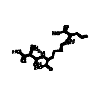 CCCC(NCCCCC(NC(O)C(N)C(=O)O)C(=O)O)C(=O)O